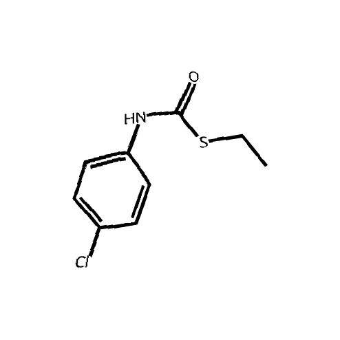 CCSC(=O)Nc1ccc(Cl)cc1